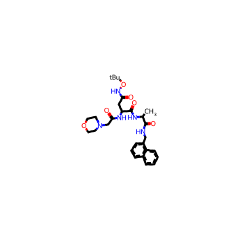 CC(NC(=O)C(CC(=O)NOC(C)(C)C)NC(=O)CN1CCOCC1)C(=O)NCc1cccc2ccccc12